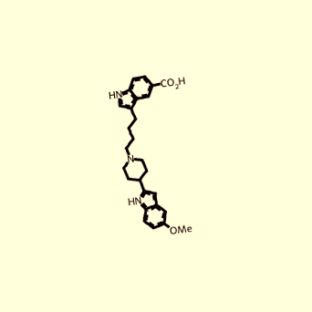 COc1ccc2[nH]c(C3CCN(CCCCc4c[nH]c5ccc(C(=O)O)cc45)CC3)cc2c1